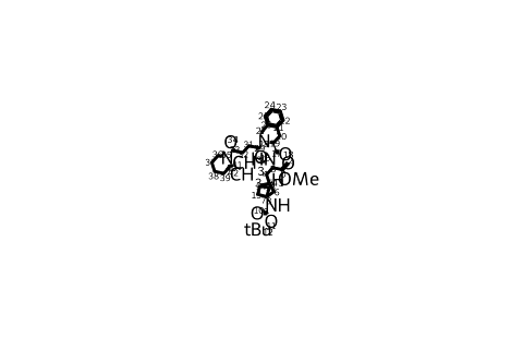 COC(=O)C(C[C@@H]1CC2(NC(=O)OC(C)(C)C)CC1C2)NC(=O)[C@@H]1Cc2ccccc2CN1C(=O)CCC(=O)N1CCCCC1(C)C